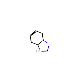 C1=CCC2NCNC2C1